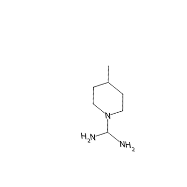 CC1CCN(C(N)N)CC1